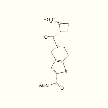 CNC(=O)c1cc2c(s1)CCN(C(=O)[C@H]1CCN1C(=O)O)C2